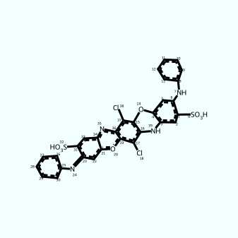 O=S(=O)(O)c1cc2c(cc1Nc1ccccc1)Oc1c(c(Cl)c3oc4cc(=Nc5ccccc5)c(S(=O)(=O)O)cc-4nc3c1Cl)N2